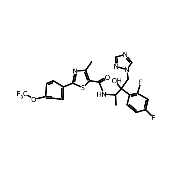 Cc1nc(-c2ccc(OC(F)(F)F)cc2)sc1C(=O)NC(C)C(O)(Cn1cncn1)c1ccc(F)cc1F